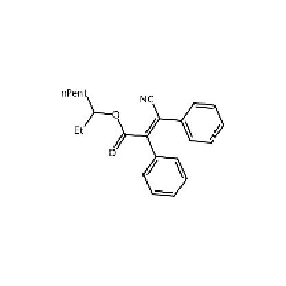 CCCCCC(CC)OC(=O)C(=C(C#N)c1ccccc1)c1ccccc1